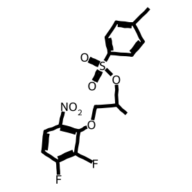 Cc1ccc(S(=O)(=O)OC(C)COc2c([N+](=O)[O-])ccc(F)c2F)cc1